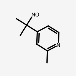 Cc1cc(C(C)(C)N=O)ccn1